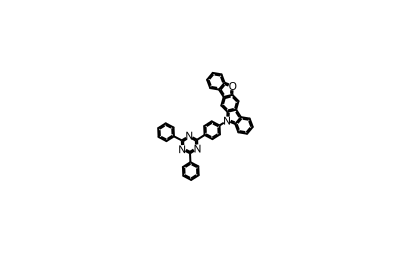 c1ccc(-c2nc(-c3ccccc3)nc(-c3ccc(-n4c5ccccc5c5cc6oc7ccccc7c6cc54)cc3)n2)cc1